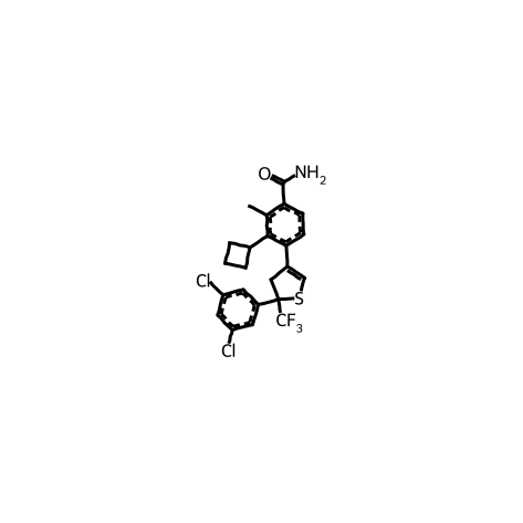 Cc1c(C(N)=O)ccc(C2=CSC(c3cc(Cl)cc(Cl)c3)(C(F)(F)F)C2)c1C1CCC1